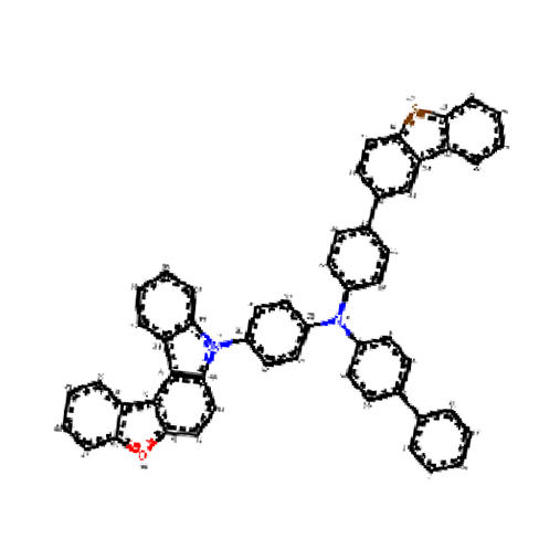 c1ccc(-c2ccc(N(c3ccc(-c4ccc5sc6ccccc6c5c4)cc3)c3ccc(-n4c5ccccc5c5c6c(ccc54)oc4ccccc46)cc3)cc2)cc1